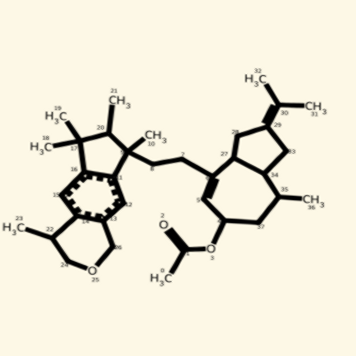 CC(=O)OC1C=C(CCC2(C)c3cc4c(cc3C(C)(C)C2C)C(C)COC4)C2CC(=C(C)C)CC2C(C)C1